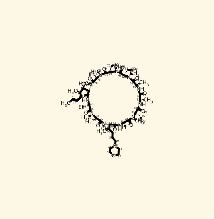 C/C=C/C[C@@H](C)[C@@H](OC(C)=O)[C@H]1C(=O)N[C@@H](CC)C(=O)N(C)[C@H](C)C(=O)N(C)[C@@H]([C@H](C)CCCN2CCOCC2)C(=O)N[C@@H](C(C)C)C(=O)N(C)[C@@H](CC(C)C)C(=O)N[C@@H](C)C(=O)N[C@H](C)C(=O)N(C)[C@@H](CC(C)C)C(=O)N(C)[C@@H](CC(C)C)C(=O)N(C)[C@@H](C(C)C)C(=O)N1C